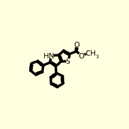 COC(=O)c1cc2[nH]c(-c3ccccc3)c(-c3ccccc3)c2s1